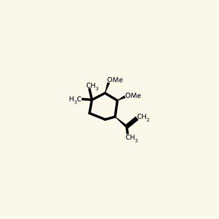 C=C(C)[C@H]1CCC(C)(C)[C@@H](OC)[C@H]1OC